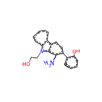 Nc1c(-c2ccccc2O)ccc2c3ccccc3n(CCO)c12